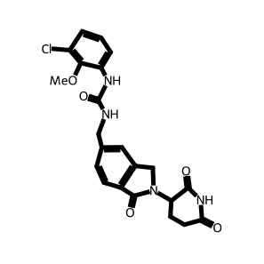 COc1c(Cl)cccc1NC(=O)NCc1ccc2c(c1)CN(C1CCC(=O)NC1=O)C2=O